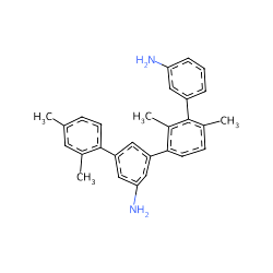 Cc1ccc(-c2cc(N)cc(-c3ccc(C)c(-c4cccc(N)c4)c3C)c2)c(C)c1